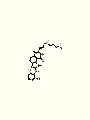 CNCCCN(C)C/C=C/c1[nH]c(=O)c2c(ccc3nc(Nc4c(Cl)cccc4Cl)n(C)c32)c1C